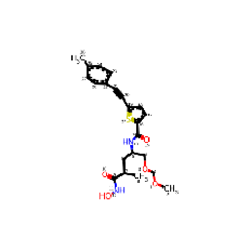 COCOCC(CC(C)C(=O)NO)NC(=O)c1ccc(C#Cc2ccc(C)cc2)s1